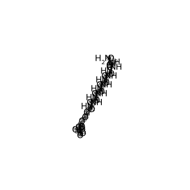 CCCC(NC(=O)CNC(=O)CNC(=O)CNC(=O)CNC(=O)CNC(=O)CNC(=O)CNC(=O)CNC(=O)CNC(=O)CCOCCOCCOCCC(=O)OC1C(=O)CC([SH](=O)=O)C1=O)C(=O)NCC(N)=O